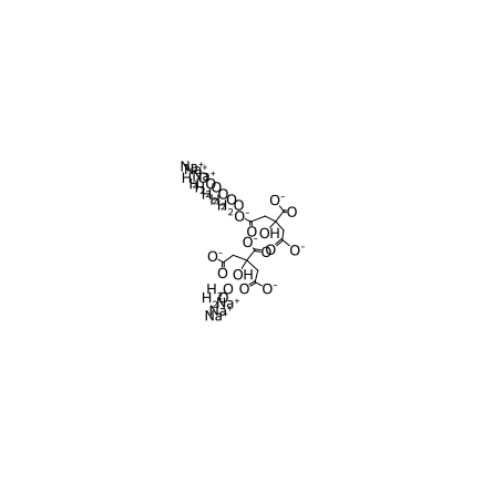 O.O.O.O.O.O.O.O.O=C([O-])CC(O)(CC(=O)[O-])C(=O)[O-].O=C([O-])CC(O)(CC(=O)[O-])C(=O)[O-].[Na+].[Na+].[Na+].[Na+].[Na+].[Na+]